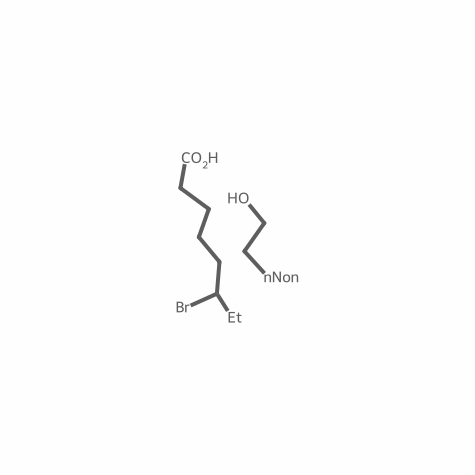 CCC(Br)CCCCC(=O)O.CCCCCCCCCCCO